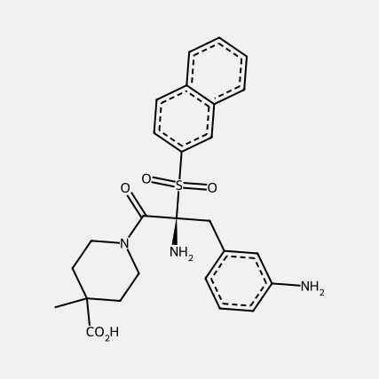 CC1(C(=O)O)CCN(C(=O)[C@@](N)(Cc2cccc(N)c2)S(=O)(=O)c2ccc3ccccc3c2)CC1